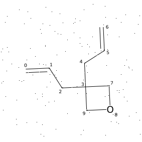 C=CCC1(CC=C)COC1